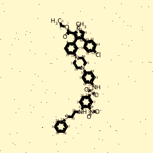 CCOC(=O)c1c(-c2cccc(N3CCN(c4ccc(NS(=O)(=O)c5ccc(NCCSc6ccccc6)c([N+](=O)[O-])c5)cc4)CC3)c2)c(-c2ccc(Cl)cc2)cn1C